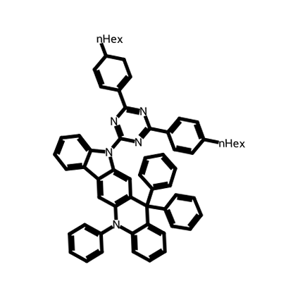 CCCCCCc1ccc(-c2nc(C3=CCC(CCCCCC)C=C3)nc(-n3c4ccccc4c4cc5c(cc43)C(c3ccccc3)(c3ccccc3)c3ccccc3N5c3ccccc3)n2)cc1